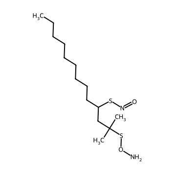 CCCCCCCCCC(CC(C)(C)SON)SN=O